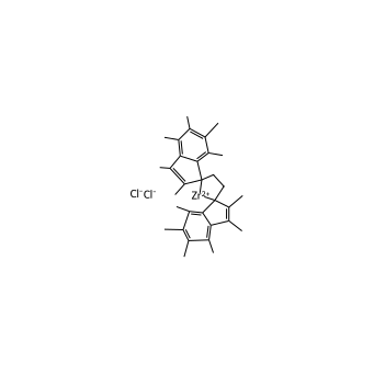 CC1=C(C)[C]2(CC[C]3([Zr+2]2)C(C)=C(C)c2c(C)c(C)c(C)c(C)c23)c2c(C)c(C)c(C)c(C)c21.[Cl-].[Cl-]